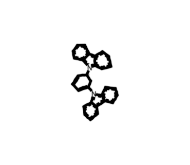 C1=C[C](n2c3ccccc3c3ccccc32)CC(n2c3ccccc3c3ccccc32)=C1